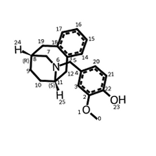 COc1cc(CN2C[C@@H]3CC[C@H]2Cc2ccccc2C3)ccc1O